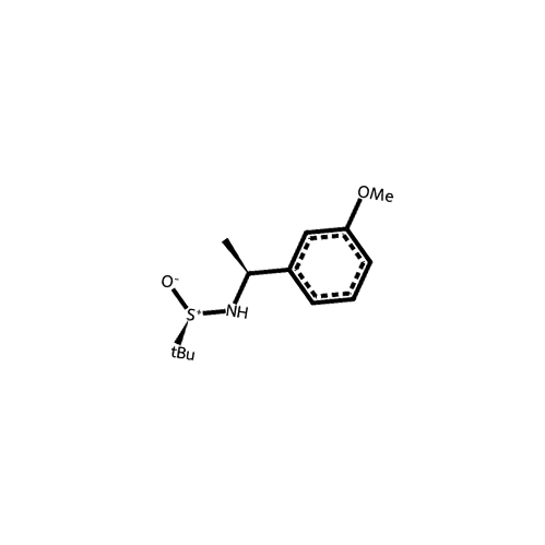 COc1cccc([C@H](C)N[S@+]([O-])C(C)(C)C)c1